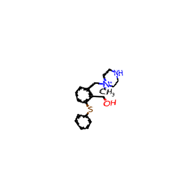 C[N+]1(Cc2cccc(Sc3ccccc3)c2CO)CCNCC1